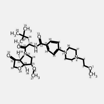 COCCN1CCN(c2ccc(C(=O)N[C@@H](CC(C)(C)C)C(=O)N3C[C@@H](OC)[C@H]4OCC(=O)[C@H]43)cc2)CC1